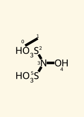 CC.O=S(=O)(O)N(O)S(=O)(=O)O